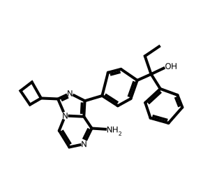 CCC(O)(c1ccccc1)c1ccc(-c2nc(C3CCC3)n3ccnc(N)c23)cc1